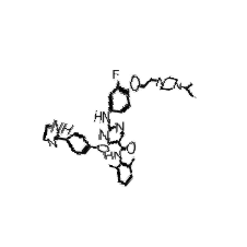 Cc1cccc(C)c1NC(=O)c1cnc(Nc2ccc(OCCN3CCN(C(C)C)CC3)c(F)c2)nc1Oc1ccc(-c2ncc[nH]2)cc1